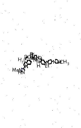 CCc1cc(Nc2ncc(Br)c(Nc3ccc4nc(/C(C=N)=C/NC)ccc4c3P(C)(C)=O)n2)c(OC)cc1N1CCC(N2CCN(C)CC2)CC1